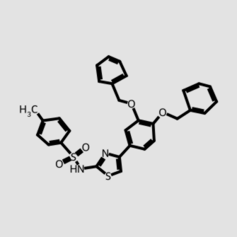 Cc1ccc(S(=O)(=O)Nc2nc(-c3ccc(OCc4ccccc4)c(OCc4ccccc4)c3)cs2)cc1